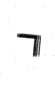 [KH].[KH].[KH].[KH].[KH].[KH].[KH].[KH].[KH].[KH].[KH].[KH].[KH].[KH].[KH].[KH].[KH].[KH].[KH].[KH].[KH].[KH].[KH].[KH].[KH].[KH].[KH]